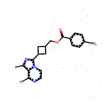 O=C(OCC1CC(c2nc(I)c3c(Cl)nccn23)C1)c1ccc([N+](=O)[O-])cc1